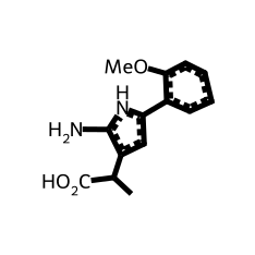 COc1ccccc1-c1cc(C(C)C(=O)O)c(N)[nH]1